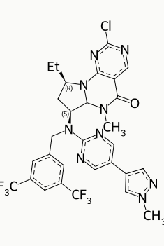 CC[C@@H]1C[C@H](N(Cc2cc(C(F)(F)F)cc(C(F)(F)F)c2)c2ncc(-c3cnn(C)c3)cn2)C2N(C)C(=O)c3cnc(Cl)nc3N21